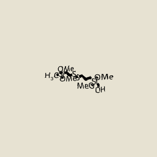 CO[Si](C)(CCSSCCC[Si](CO)(OC)OC)OC